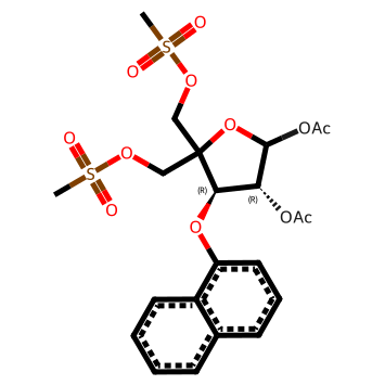 CC(=O)OC1OC(COS(C)(=O)=O)(COS(C)(=O)=O)[C@H](Oc2cccc3ccccc23)[C@H]1OC(C)=O